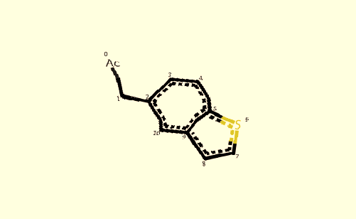 CC(=O)Cc1ccc2sccc2c1